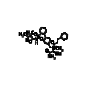 CC[C@H](C)[C@@H](C(N)=O)[N+](C)(Cc1ccc(-c2ccccc2S(=O)(=O)Nc2onc(C)c2C)cc1)C(=O)CCc1ccccc1